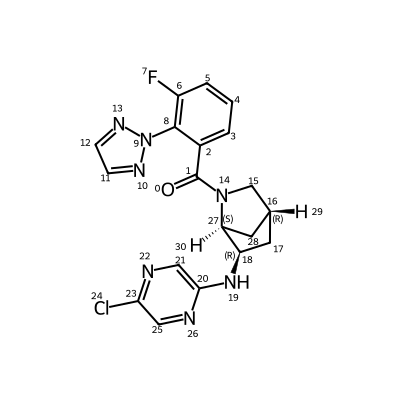 O=C(c1cccc(F)c1-n1nccn1)N1C[C@@H]2C[C@@H](Nc3cnc(Cl)cn3)[C@@H]1C2